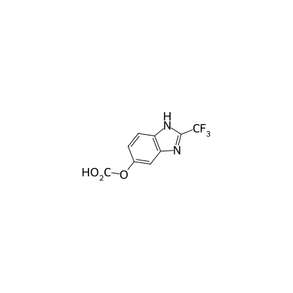 O=C(O)Oc1ccc2[nH]c(C(F)(F)F)nc2c1